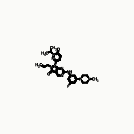 C=CCn1c(=O)c2cnc(Nc3cc(F)cc(N4CCN(C)CC4)c3)nc2n1-c1ccc(=O)n(C(C)C)n1